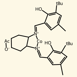 CC(=O)[O-].Cc1cc(C=[N+]2[Co][N+](=Cc3cc(C)cc(C(C)(C)C)c3O)C3CCCCC32)c(O)c(C(C)(C)C)c1